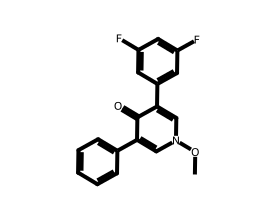 COn1cc(-c2ccccc2)c(=O)c(-c2cc(F)cc(F)c2)c1